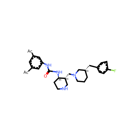 CC(=O)c1cc(NC(=O)N[C@@H]2CCNC[C@H]2CN2CCC[C@@H](Cc3ccc(F)cc3)C2)cc(C(C)=O)c1